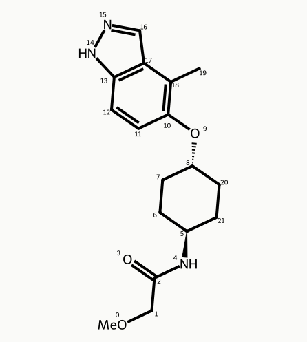 COCC(=O)N[C@H]1CC[C@H](Oc2ccc3[nH]ncc3c2C)CC1